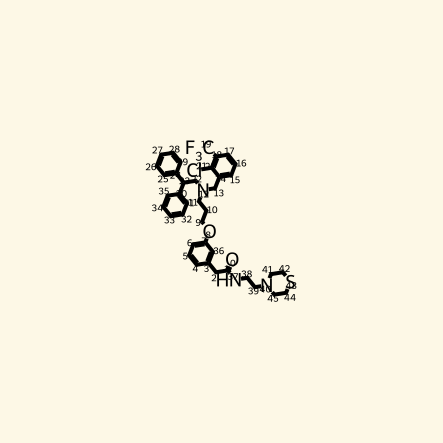 O=C(Cc1cccc(OCCCN(Cc2cccc(C(F)(F)F)c2Cl)CC(c2ccccc2)c2ccccc2)c1)NCCN1CCSCC1